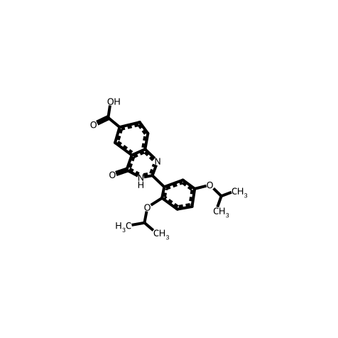 CC(C)Oc1ccc(OC(C)C)c(-c2nc3ccc(C(=O)O)cc3c(=O)[nH]2)c1